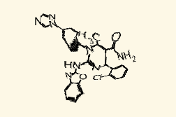 CC1=C(C(N)=O)C(c2ccccc2Cl)N=C(Nc2nc3ccccc3o2)N1c1ccc(-n2cncn2)cc1